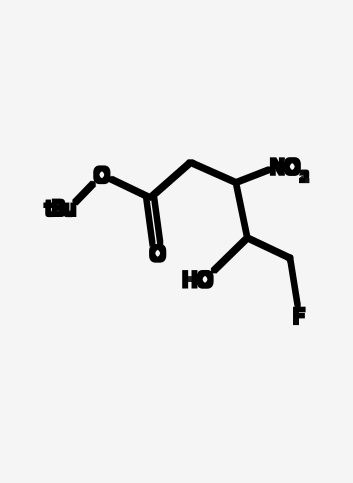 CC(C)(C)OC(=O)CC(C(O)CF)[N+](=O)[O-]